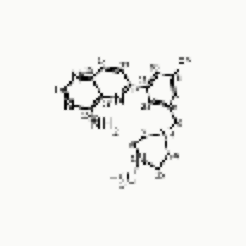 CN1CCN(Cc2cc(F)cc(-c3ccc4ncnc(N)c4n3)c2)CC1